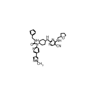 Cn1cc(-c2ccc(N(C(=O)NCc3ccccc3)[C@H]3CC[C@H](Nc4ncc(C#N)c(NCC5CCCO5)n4)CC3)nc2)cn1